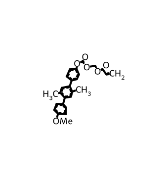 C=CC(=O)OCOC(=O)Oc1ccc(-c2cc(C)c(-c3ccc(OC)cc3)cc2C)cc1